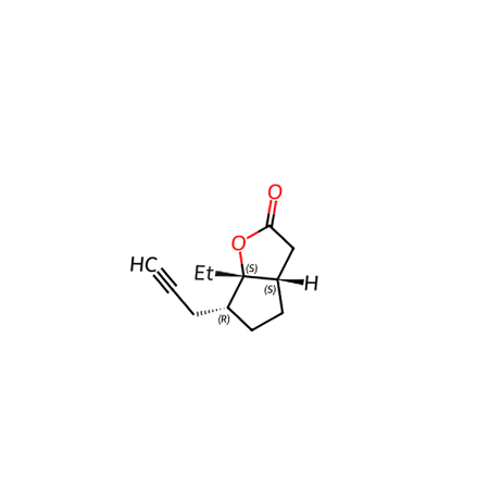 C#CC[C@H]1CC[C@H]2CC(=O)O[C@@]12CC